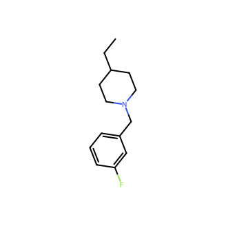 CCC1CCN(Cc2cccc(F)c2)CC1